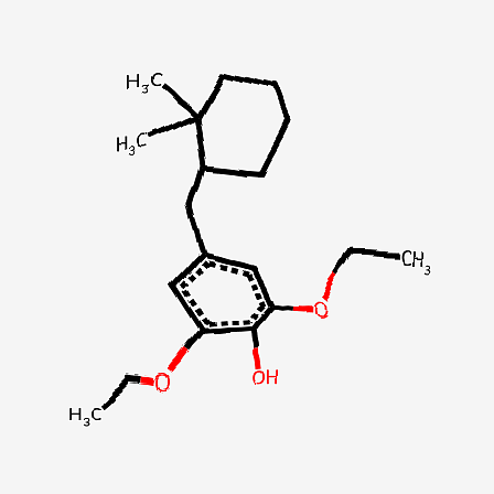 CCOc1cc(CC2CCCCC2(C)C)cc(OCC)c1O